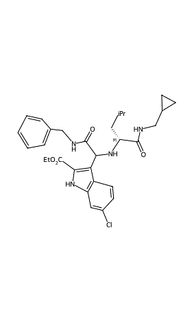 CCOC(=O)c1[nH]c2cc(Cl)ccc2c1C(N[C@H](CC(C)C)C(=O)NCC1CC1)C(=O)NCc1ccccc1